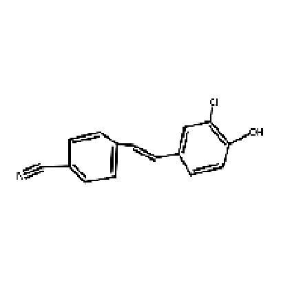 N#Cc1ccc(C=Cc2ccc(O)c(Cl)c2)cc1